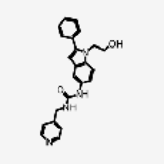 O=C(NCc1ccncc1)Nc1ccc2c(c1)cc(C1=C=C=CC=C1)n2CCO